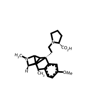 COc1ccc2c(c1)[C@]1(CCN3CCC[C@@H]3C(=O)O)C3C4N(C)[C@@H]([C@@H]1C)C43C2